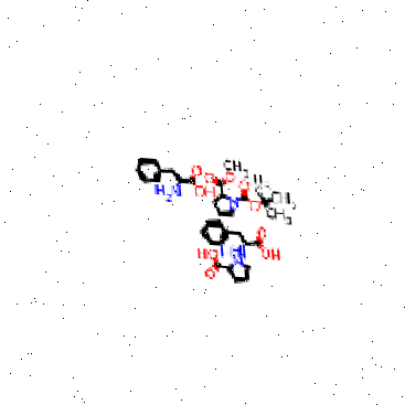 COC(=O)[C@@H]1CCCN1C(=O)OC(C)(C)C.N[C@@H](Cc1ccccc1)C(=O)O.N[C@@H](Cc1ccccc1)C(=O)O.O=C(O)[C@@H]1CCCN1